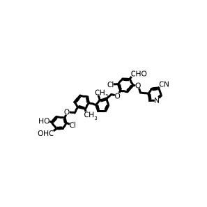 Cc1c(COc2cc(O)c(C=O)cc2Cl)cccc1-c1cccc(COc2cc(OCc3cncc(C#N)c3)c(C=O)cc2Cl)c1C